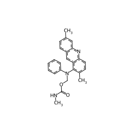 CNC(=O)OCN(c1ccccc1)c1c(C)ccc2nc3cc(C)ccc3cc12